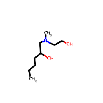 [CH2]CCCC(O)CN(C)CCO